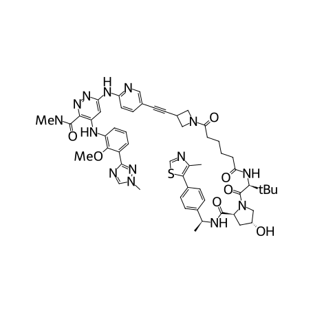 CNC(=O)c1nnc(Nc2ccc(C#CC3CN(C(=O)CCCCC(=O)N[C@H](C(=O)N4C[C@H](O)C[C@H]4C(=O)N[C@@H](C)c4ccc(-c5scnc5C)cc4)C(C)(C)C)C3)cn2)cc1Nc1cccc(-c2ncn(C)n2)c1OC